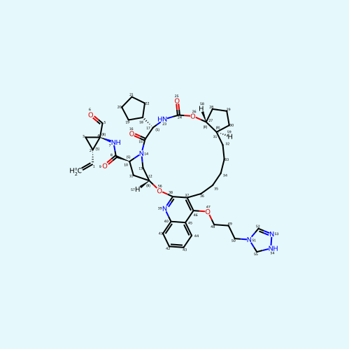 C=C[C@@H]1C[C@@]1(C=O)NC(=O)[C@@H]1C[C@@H]2CN1C(=O)[C@H](C1CCCC1)NC(=O)O[C@@H]1CCC[C@H]1CCCCCc1c(nc3ccccc3c1OCCCN1C=NNC1)O2